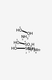 N.N.O=S(=O)(O)O.O=S(=O)(O)O.OO.[Mn]